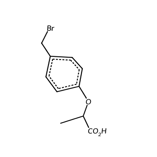 CC(Oc1ccc(CBr)cc1)C(=O)O